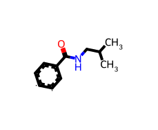 CC(C)CNC(=O)c1c[c][c]cc1